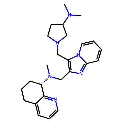 CN(C)C1CCN(Cc2c(CN(C)[C@H]3CCCc4cccnc43)nc3ccccn23)C1